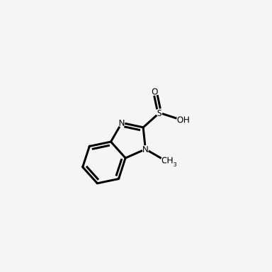 Cn1c(S(=O)O)nc2ccccc21